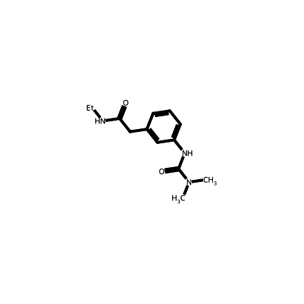 CCNC(=O)Cc1cccc(NC(=O)N(C)C)c1